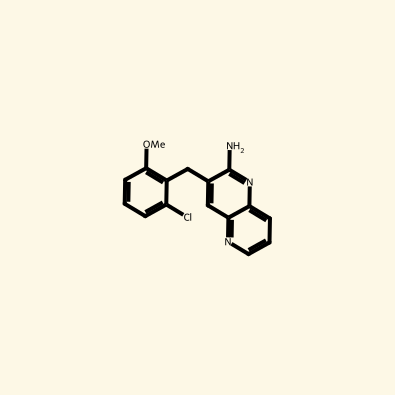 COc1cccc(Cl)c1Cc1cc2ncccc2nc1N